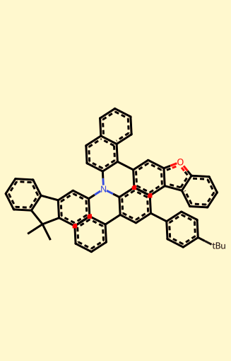 CC(C)(C)c1ccc(-c2ccc(N(c3ccc4c(c3)-c3ccccc3C4(C)C)c3ccc4ccccc4c3-c3ccc4c(c3)oc3ccccc34)c(-c3ccccc3)c2)cc1